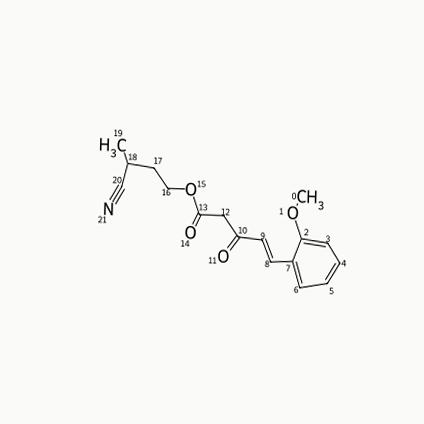 COc1ccccc1C=CC(=O)CC(=O)OCCC(C)C#N